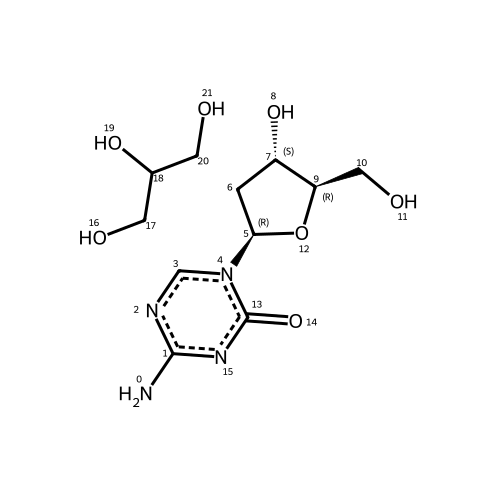 Nc1ncn([C@H]2C[C@H](O)[C@@H](CO)O2)c(=O)n1.OCC(O)CO